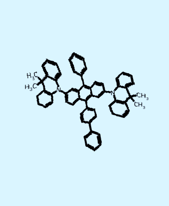 CC1(C)C2=C(CCC=C2)N(c2ccc3c(-c4ccccc4)c4cc(N5C6=C(CCC=C6)C(C)(C)c6ccccc65)ccc4c(-c4ccc(-c5ccccc5)cc4)c3c2)c2ccccc21